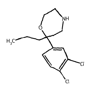 CCCC1(c2ccc(Cl)c(Cl)c2)CNCCO1